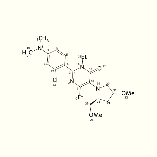 CCc1nc(-c2ccc(N(C)C)cc2Cl)n(CC)c(=O)c1N1C[C@H](OC)C[C@H]1COC